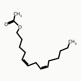 CCCCC/C=C\C/C=C\CCCCOC(C)=O